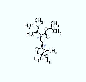 C=C(CC(C)C)/C(=C/C=C1\OCC(C)(C)N1C)C(=O)OC(C)C